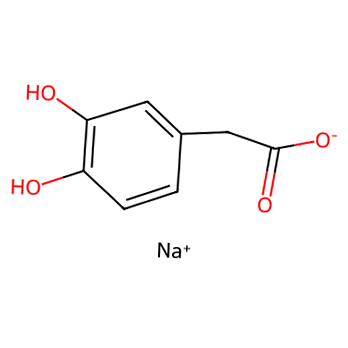 O=C([O-])Cc1ccc(O)c(O)c1.[Na+]